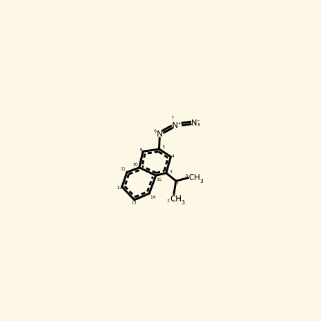 CC(C)c1cc(N=[N+]=[N-])cc2ccccc12